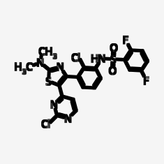 CN(C)c1nc(-c2cccc(NS(=O)(=O)c3cc(F)ccc3F)c2Cl)c(-c2ccnc(Cl)n2)s1